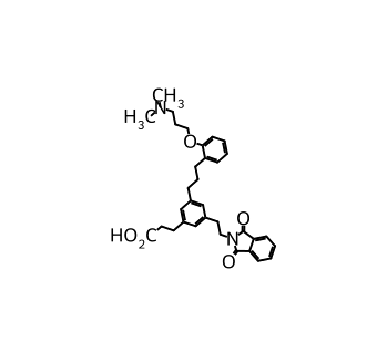 CN(C)CCCOc1ccccc1CCCc1cc(CCC(=O)O)cc(CCN2C(=O)c3ccccc3C2=O)c1